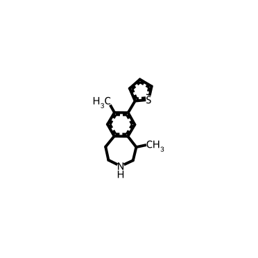 Cc1cc2c(cc1-c1cccs1)C(C)CNCC2